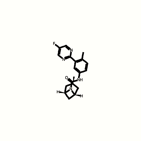 Cc1ccc(NC(=O)N2[C@@H]3C[C@H](C)C[C@H]2C3)cc1-c1ncc(F)cn1